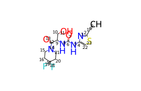 C#Cc1nc(NC(=O)NC(CO)C(=O)N2CCC(F)(F)CC2)cs1